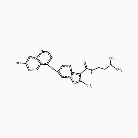 Cc1sc2cc(Oc3ccnc4cc(O)ccc34)ccc2c1C(=O)NCCN(C)C